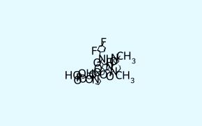 CC1=NO[C@@]2(CC[C@H](C)N3C[C@H]2n2cc(C(=O)NCc4ccc(F)cc4F)c(=O)c(OC(=O)[C@@H]4CCCN4C(=O)OCOP(=O)(O)O)c2C3=O)C1